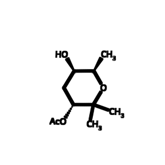 CC(=O)O[C@@H]1C[C@@H](O)[C@@H](C)OC1(C)C